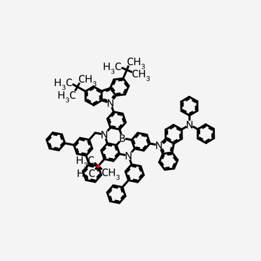 CC(C)(C)c1cc2c3c(c1)N(c1cccc(-c4ccccc4)c1)c1cc(-n4c5ccccc5c5cc(N(c6ccccc6)c6ccccc6)ccc54)ccc1B3c1ccc(-n3c4ccc(C(C)(C)C)cc4c4cc(C(C)(C)C)ccc43)cc1N2Cc1cc(-c2ccccc2)cc(-c2ccccc2)c1